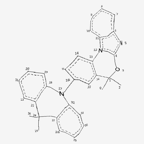 CC1(C)Oc2nc3ccccc3n2-c2ccc(N3c4ccccc4C(C)(C)c4ccccc43)cc21